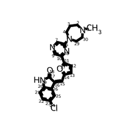 CN1CCCN(c2cncc(-c3ccc(C=C4C(=O)Nc5ccc(Cl)cc54)o3)n2)CC1